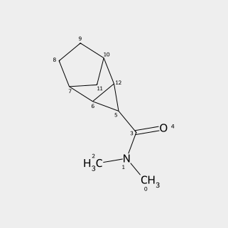 CN(C)C(=O)C1C2C3CCC(C3)C12